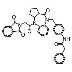 O=C(Cc1ccccc1)Nc1ccc(CN2C(=O)C3CCCC3N(C(=O)CN3C(=O)c4ccccc4C3=O)c3ccccc32)cc1